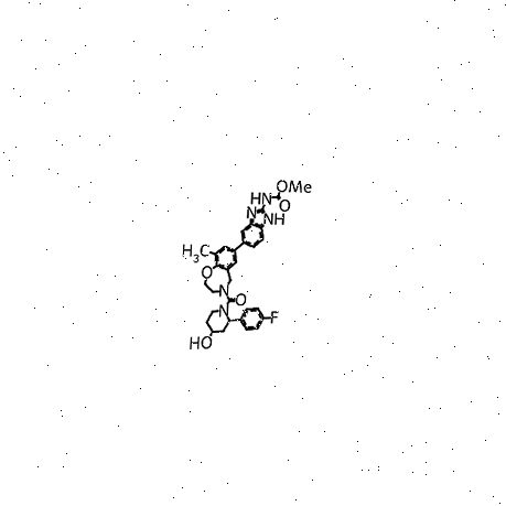 COC(=O)Nc1nc2cc(-c3cc(C)c4c(c3)CN(C(=O)N3CC[C@H](O)C[C@@H]3c3ccc(F)cc3)CCO4)ccc2[nH]1